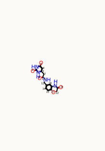 O=C(Cc1cc(=O)[nH]c(=O)[nH]1)NCc1ccc2c(c1)NC(=O)CO2